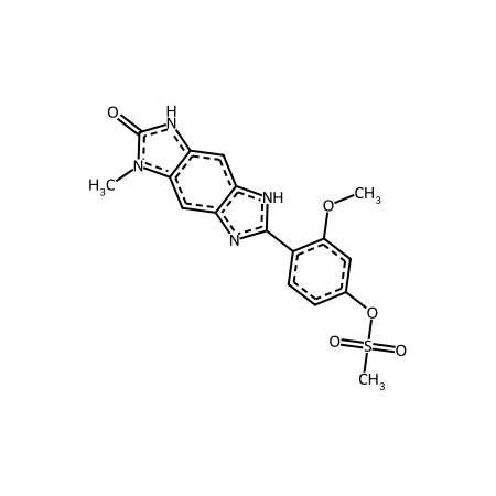 COc1cc(OS(C)(=O)=O)ccc1-c1nc2cc3c(cc2[nH]1)[nH]c(=O)n3C